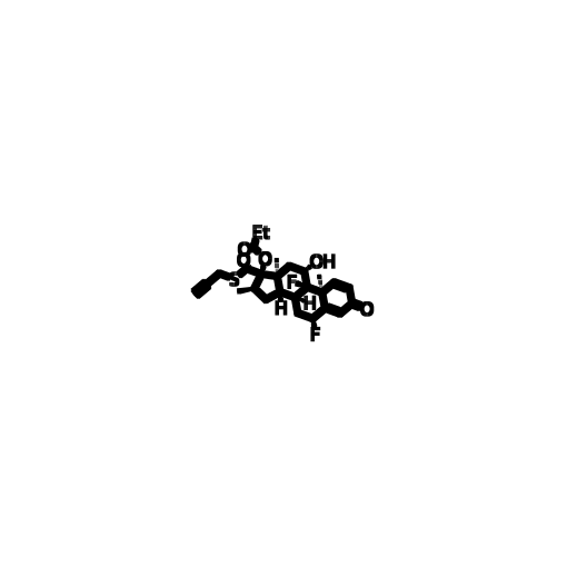 C#CCSC(=O)[C@@]1(OC(=O)CC)[C@H](C)C[C@H]2[C@@H]3C[C@H](F)C4=CC(=O)C=C[C@]4(C)[C@@]3(F)[C@@H](O)C[C@@]21C